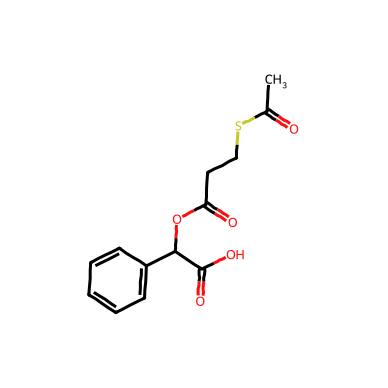 CC(=O)SCCC(=O)OC(C(=O)O)c1ccccc1